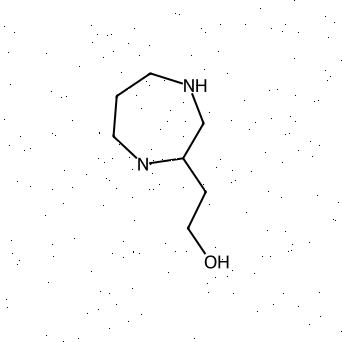 OCCC1CNCCC[N]1